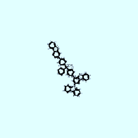 C[C@@](c1ccccc1)(c1ccc(-c2ccc3c(c2)oc2ccccc23)cc1)c1ccc(-c2cc(-n3c4ccccc4c4ccccc43)cc3c2sc2ccccc23)cc1